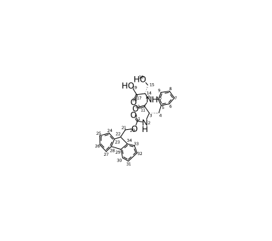 O=C(N[C@@H](Cc1ccccc1)C(=O)N[C@@H](CO)C(=O)O)OCC1c2ccccc2-c2ccccc21